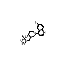 CC(C)N(CC1CCCN(c2ccnc3ccc(F)cc23)C1)S(C)(=O)=O